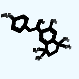 C=C(Cc1ccc(C(=O)O)cc1)c1cc2c(cc1C)C(C)(C)CCC2(C)C